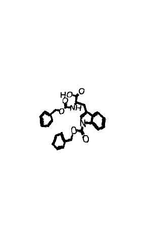 O=C(NC(Cc1cn(C(=O)OCc2ccccc2)c2ccccc12)C(=O)O)OCc1ccccc1